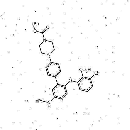 CCCNc1cc(-c2ccc(N3CCN(C(=O)OC(C)(C)C)CC3)cc2)c(Oc2cccc(Cl)c2C(=O)O)cn1